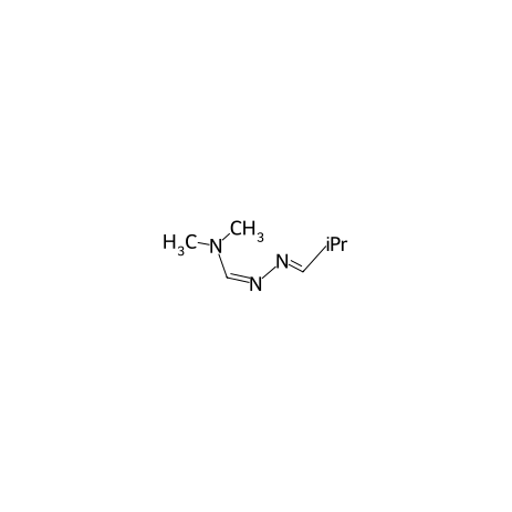 CC(C)/C=N/N=C\N(C)C